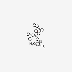 CCC1(c2ccc(N(c3ccc(-c4ccccc4-c4ccccc4)cc3)c3ccc(-c4ccccc4-n4c5ccccc5c5c6ccccc6ccc54)cc3)cc2)C[C@@H](C)CC[C@H](C)C1